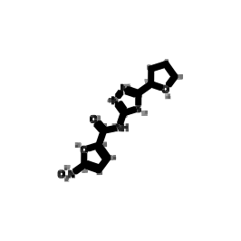 O=C(Nc1nnc(C2CCCO2)s1)c1ccc([N+](=O)[O-])o1